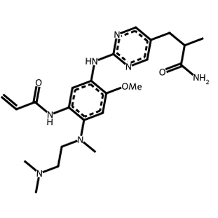 C=CC(=O)Nc1cc(Nc2ncc(CC(C)C(N)=O)cn2)c(OC)cc1N(C)CCN(C)C